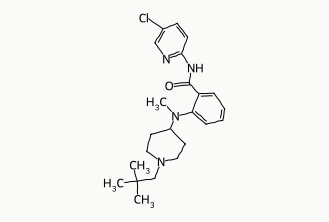 CN(c1ccccc1C(=O)Nc1ccc(Cl)cn1)C1CCN(CC(C)(C)C)CC1